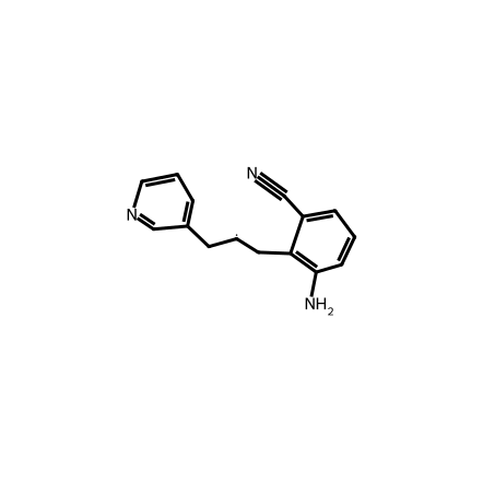 N#Cc1cccc(N)c1C[CH]Cc1cccnc1